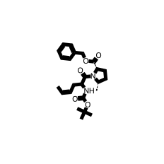 C/C=C\CC(NC(=O)OC(C)(C)C)C(=O)N1[C@@H](C)CC[C@H]1C(=O)OCc1ccccc1